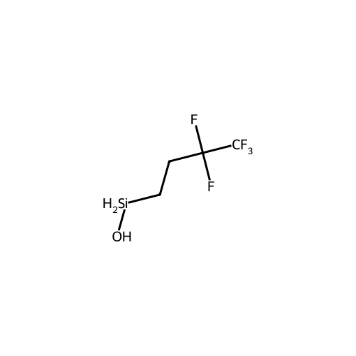 O[SiH2]CCC(F)(F)C(F)(F)F